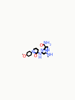 CNc1cc(Nc2cccn([C@H]3CC[C@H](OC)CC3)c2=O)nc2c(C(N)=O)cnn12